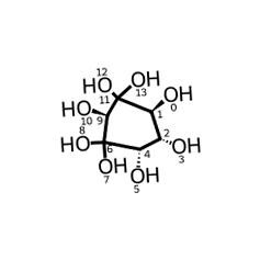 O[C@H]1[C@H](O)[C@H](O)C(O)(O)[C@@H](O)C1(O)O